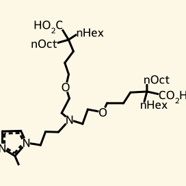 CCCCCCCCC(CCCCCC)(CCCOCCN(CCCn1ccnc1C)CCOCCCC(CCCCCC)(CCCCCCCC)C(=O)O)C(=O)O